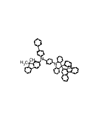 CC1(C)c2ccccc2-c2ccc(N(c3ccc(-c4ccccc4)cc3)c3ccc(N4c5ccccc5C(c5ccccc5)(c5cc6ccccc6c6c5oc5ccccc56)c5ccccc54)cc3)cc21